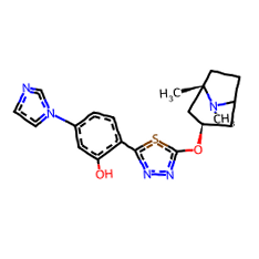 CN1C2CC[C@@]1(C)C[C@H](Oc1nnc(-c3ccc(-n4ccnc4)cc3O)s1)C2